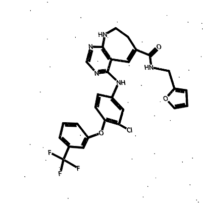 O=C(NCc1ccco1)C1=Cc2c(ncnc2Nc2ccc(Oc3cccc(C(F)(F)F)c3)c(Cl)c2)NCC1